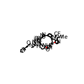 CO[C@@H](C)c1ncccc1-c1c2c3cc(ccc3n1CC(F)(F)F)-c1nnc(o1)C[C@H](NC(=O)[C@H](C(C)C)N(C)C(=O)C1(C)CCN(C(=O)C#CC(C)(C)N3CCC3)C1)C(=O)N1CCC[C@@](O)(N1)C(=O)OCC(C)(C)C2